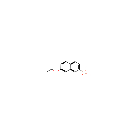 CCOc1ccc2ccc(S(=O)(=O)O)cc2c1